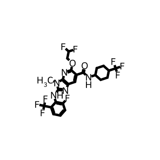 Cn1c(Nc2c(F)cccc2C(F)(F)F)nc2cc(C(=O)NC3CCC(C(F)(F)F)CC3)c(OCC(F)F)nc21